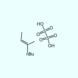 CC=C(C)CCCC.O=S(=O)(O)S(=O)(=O)O